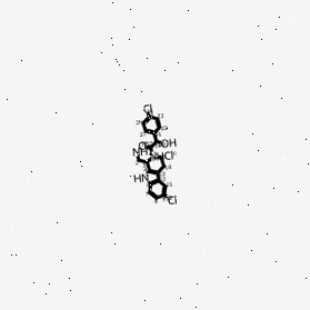 Cl.NCC1c2[nH]c3ccc(Cl)cc3c2CCN1C(=O)C(O)c1ccc(Cl)cc1